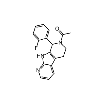 CC(=O)N1CCc2c([nH]c3ncccc23)C1c1ccccc1F